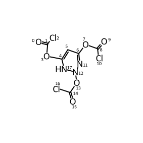 O=C(Cl)OC1=CC(OC(=O)Cl)=NN(OC(=O)Cl)N1